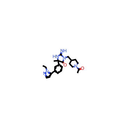 CCn1nccc1-c1cccc(C2(C)NC(=N)N(CC3CCN(C(C)=O)CC3)C2=O)c1